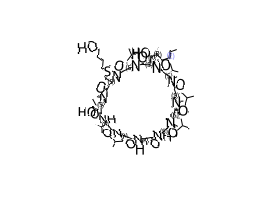 C/C=C/C[C@@H](C)[C@@H](O)[C@H]1C(=O)N[C@@H](CCC)C(=O)N(C)[C@H](CSCCCCO)C(=O)N(C)[C@@H](C(C)O)C(=O)N[C@H](C(C)C)C(=O)N(C)[C@H](CC(C)C)C(=O)N[C@H](C)C(=O)N[C@@H](C)C(=O)N(C)[C@@H](CC(C)C)C(=O)N(C)[C@@H](CC(C)C)C(=O)N(C)[C@@H](C(C)C)C(=O)N1C